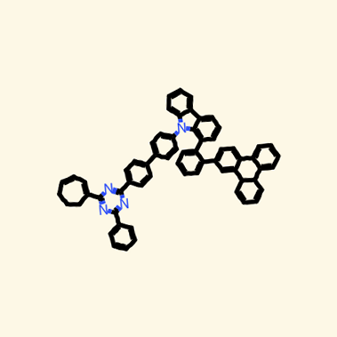 C1=CCCCC(c2nc(-c3ccccc3)nc(-c3ccc(-c4ccc(-n5c6ccccc6c6cccc(-c7ccccc7-c7ccc8c(c7)C7C=CC=CC7c7ccccc7-8)c65)cc4)cc3)n2)=C1